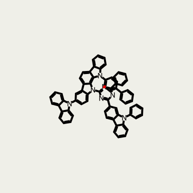 c1ccc(-c2ccc(-n3c4ccccc4c4ccc5c6cc(-n7c8ccccc8c8ccccc87)ccc6n(-c6nc(-c7ccccc7)nc(-c7ccc8c9ccccc9n(-c9ccccc9)c8c7)n6)c5c43)cc2)cc1